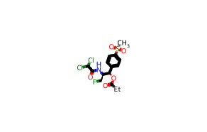 CCC(=O)O[C@H](c1ccc(S(C)(=O)=O)cc1)[C@@H](CF)NC(=O)C(Cl)Cl